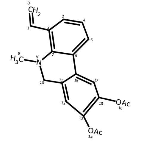 C=Cc1cccc2c1N(C)Cc1cc(OC(C)=O)c(OC(C)=O)cc1-2